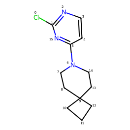 Clc1nccc(N2CCC3(CCC3)CC2)n1